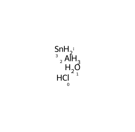 Cl.O.[AlH3].[SnH2]